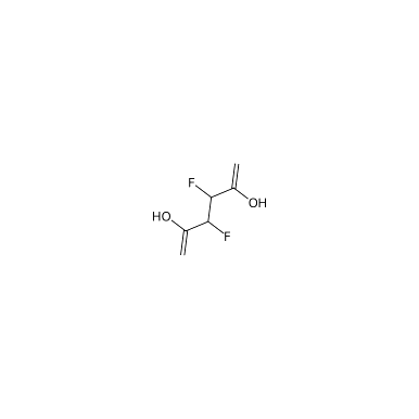 C=C(O)C(F)C(F)C(=C)O